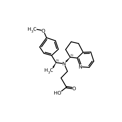 COc1ccc([C@H](C)N(CCC(=O)O)[C@H]2CCCc3cccnc32)cc1